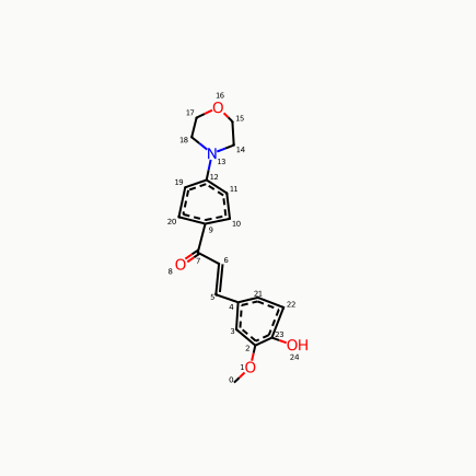 COc1cc(C=CC(=O)c2ccc(N3CCOCC3)cc2)ccc1O